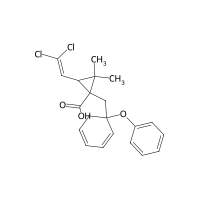 CC1(C)C(C=C(Cl)Cl)C1(CC1(Oc2ccccc2)C=CC=CC1)C(=O)O